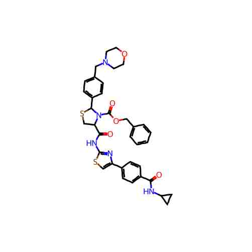 O=C(NC1CC1)c1ccc(-c2csc(NC(=O)C3CSC(c4ccc(CN5CCOCC5)cc4)N3C(=O)OCc3ccccc3)n2)cc1